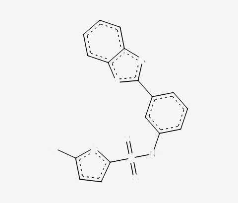 O=S(=O)(Nc1cccc(-c2nc3ccccc3s2)c1)c1ccc(Cl)s1